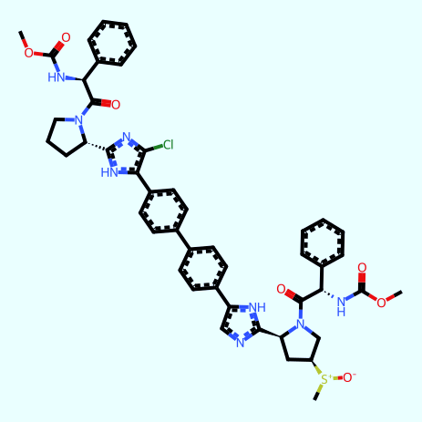 COC(=O)N[C@H](C(=O)N1C[C@@H]([S+](C)[O-])C[C@H]1c1ncc(-c2ccc(-c3ccc(-c4[nH]c([C@@H]5CCCN5C(=O)[C@@H](NC(=O)OC)c5ccccc5)nc4Cl)cc3)cc2)[nH]1)c1ccccc1